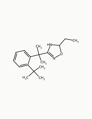 CCC1NC(C(C)(C)c2ccccc2C(C)(C)C)=NO1